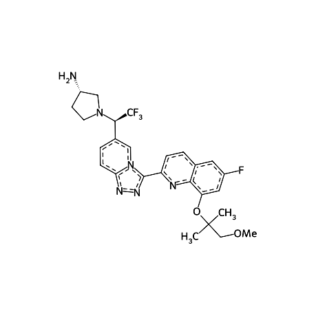 COCC(C)(C)Oc1cc(F)cc2ccc(-c3nnc4ccc([C@@H](N5CC[C@H](N)C5)C(F)(F)F)cn34)nc12